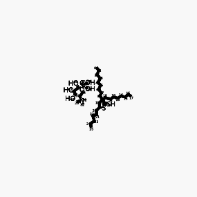 CCCCCCCCCC(CCCCCCCC)(CCCCCCCC)C(=S)S.C[N+](C)(C)CCOP(=O)(O)O.OCC(O)CO